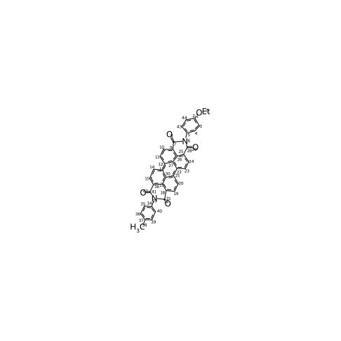 CCOc1ccc(N2C(=O)c3ccc4c5ccc6c7c(ccc(c8ccc(c3c48)C2=O)c75)C(=O)N(c2ccc(C)cc2)C6=O)cc1